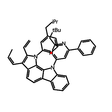 C=Cc1c(/C=C\C)c2ccc3c4ccccc4n(-c4cc(-c5ccccc5)nc(CC(C)(C)C)n4)c3c2n1-c1cccc(CC(C)C)c1